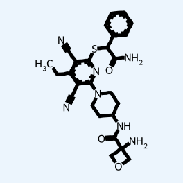 CCc1c(C#N)c(SC(C(N)=O)c2ccccc2)nc(N2CCC(NC(=O)C3(N)COC3)CC2)c1C#N